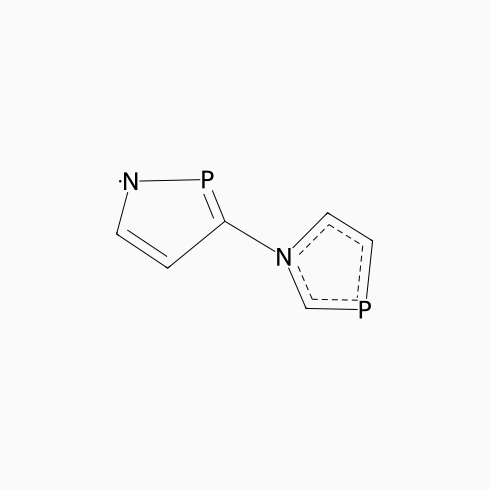 C1=CC(n2ccpc2)=P[N]1